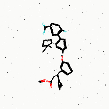 COC(=O)C[C@@H](c1cccc(OCc2ccc(-c3cc(C(F)F)ccc3F)c([C@H]3CCCC3(C)C)c2)c1)C1CC1